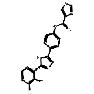 O=C(Nc1ccc(-c2cnc(-c3cccc(Cl)c3F)[nH]2)cc1)c1cscn1